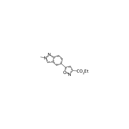 CCOC(=O)c1cc(-c2ccc3nn(C)cc3c2)on1